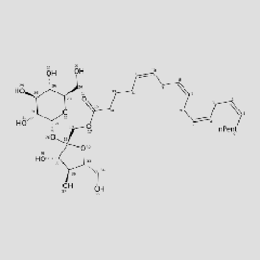 CCCCC/C=C\C/C=C\C/C=C\C/C=C\CCCC(=O)OC[C@@]1(O[C@H]2O[C@H](CO)[C@@H](O)[C@H](O)[C@H]2O)O[C@H](CO)[C@@H](O)[C@@H]1O